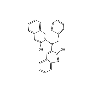 Oc1cc2ccccc2cc1N([C]c1ccccc1)c1cc2ccccc2cc1O